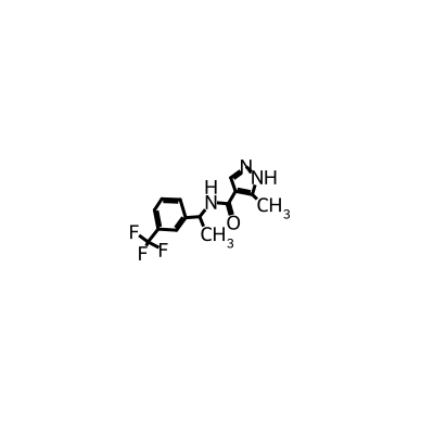 Cc1[nH]ncc1C(=O)NC(C)c1cccc(C(F)(F)F)c1